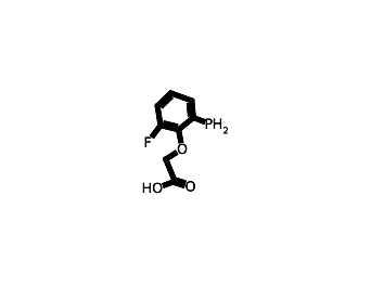 O=C(O)COc1c(F)cccc1P